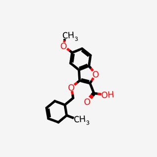 COc1ccc2oc(C(=O)O)c(OCC3CC=CCC3C)c2c1